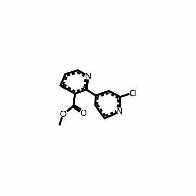 COC(=O)c1cccnc1-c1ccnc(Cl)c1